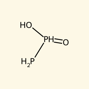 O=[PH](O)P